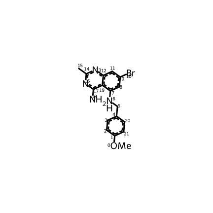 COc1ccc(CNc2cc(Br)cc3nc(C)nc(N)c23)cc1